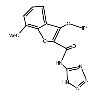 COc1cccc2c(OC(C)C)c(C(=O)Nc3nnn[nH]3)oc12